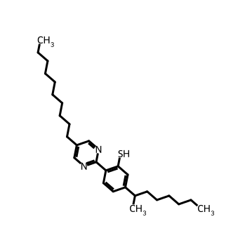 CCCCCCCCCCc1cnc(-c2ccc(C(C)CCCCCC)cc2S)nc1